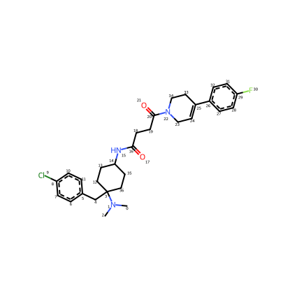 CN(C)C1(Cc2ccc(Cl)cc2)CCC(NC(=O)CCC(=O)N2CC=C(c3ccc(F)cc3)CC2)CC1